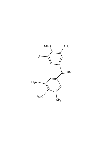 COc1c(C)cc(C(=O)c2cc(C)c(OC)c(C)c2)cc1C